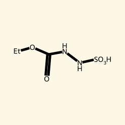 CCOC(=O)NNS(=O)(=O)O